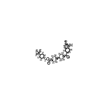 O=C(OCc1ccc(C(F)(F)F)cc1)N1CCN(C2CCN(C(=O)c3ccc4[nH]c(=S)sc4c3)CC2)CC1